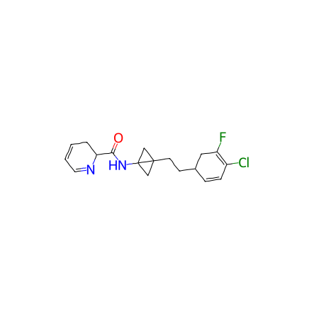 O=C(NC12CC1(CCC1C=CC(Cl)=C(F)C1)C2)C1CC=CC=N1